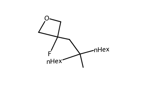 CCCCCCC(C)(CCCCCC)CC1(F)COC1